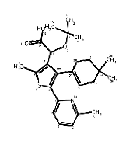 Cc1cccc(-c2sc(C)c(C(OC(C)(C)C)C(=O)O)c2C2=CCC(C)(C)CC2)n1